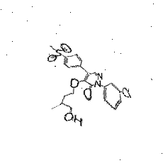 CC(CO)CCOc1c(-c2ccc(S(C)(=O)=O)cc2)cnn(-c2cccc(Cl)c2)c1=O